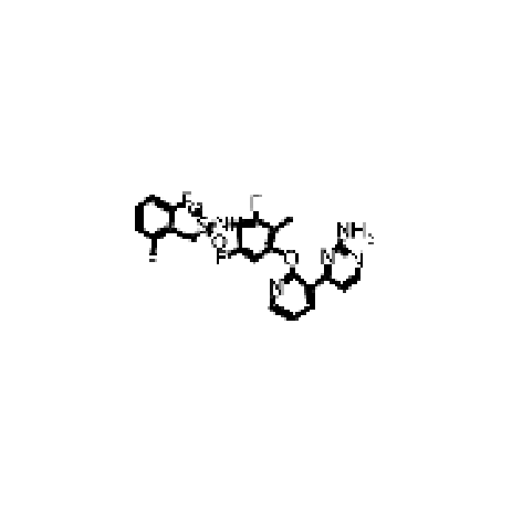 Cc1c(Oc2ncccc2-c2ccnc(N)n2)cc(F)c(NS(=O)(=O)Cc2c(F)cccc2F)c1F